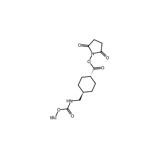 CC(C)(C)OC(=O)NC[C@H]1CC[C@H](C(=O)ON2C(=O)CCC2=O)CC1